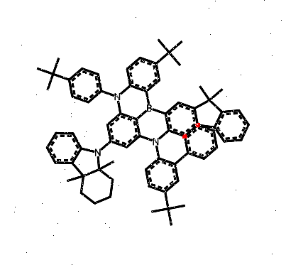 CC(C)(C)c1ccc(N2c3ccc(C(C)(C)C)cc3B3c4cc5c(cc4N(c4ccc(C(C)(C)C)cc4-c4ccccc4)c4cc(N6c7ccccc7C7(C)CCCCC67C)cc2c43)-c2ccccc2C5(C)C)cc1